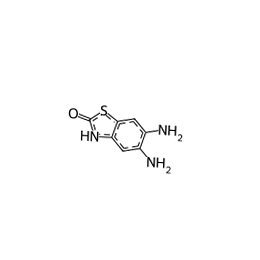 Nc1cc2[nH]c(=O)sc2cc1N